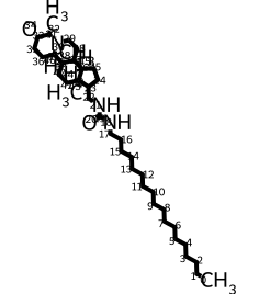 CCCCCCCCCCCCCCCCCCNC(=O)NCC1CC[C@H]2[C@@H]3CCN4C(C)C(=O)CC[C@]4(C)[C@@H]3CC[C@]12C